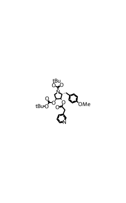 COc1ccc(C[C@@H]2[C@H](OC(=O)Cc3cccnc3)[C@@H](OC(=O)OC(C)(C)C)CN2C(=O)OC(C)(C)C)cc1